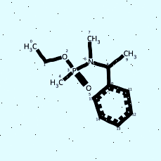 CCOP(C)(=O)N(C)C(C)c1ccccc1